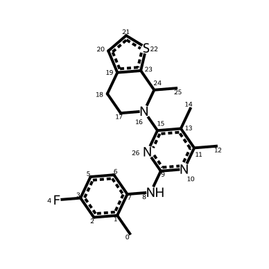 Cc1cc(F)ccc1Nc1nc(C)c(C)c(N2CCc3ccsc3C2C)n1